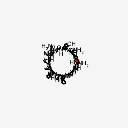 CCCC[C@H]1C(=O)N(C)[C@@H](CCCC)C(=O)N[C@@H](CCCN)C(=O)NC(C(=O)NCC(N)=O)CSCC(=O)N[C@@H](Cc2ccc(O)cc2)C(=O)N(C)[C@@H](C)C(=O)N[C@@H](CC(N)=O)C(=O)N2CCC[C@H]2C(=O)N[C@@H](CC(N)=O)C(=O)N[C@@H](CC(C)C)C(=O)N2CCC[C@H]2C(=O)N[C@@H](Cc2c[nH]c3ccccc23)C(=O)N[C@@H](CO)C(=O)N[C@@H](Cc2csc3ccccc23)C(=O)N1C